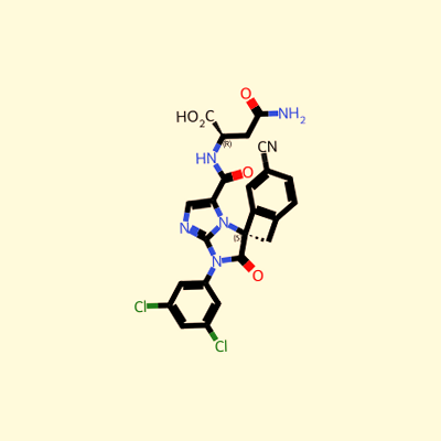 N#Cc1ccc2c(c1)[C@@]1(C2)C(=O)N(c2cc(Cl)cc(Cl)c2)c2ncc(C(=O)N[C@H](CC(N)=O)C(=O)O)n21